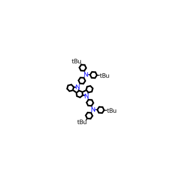 CC(C)(C)c1ccc(N(c2ccc(-n3c4ccccc4c4c3ccc3c5ccccc5n(-c5ccc(N(c6ccc(C(C)(C)C)cc6)c6ccc(C(C)(C)C)cc6)cc5)c34)cc2)c2ccc(C(C)(C)C)cc2)cc1